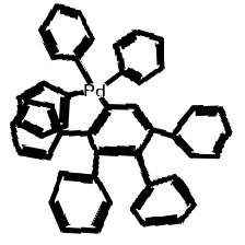 c1ccc(-c2c[c]([Pd]([c]3ccccc3)([c]3ccccc3)[c]3ccccc3)c(-c3ccccc3)c(-c3ccccc3)c2-c2ccccc2)cc1